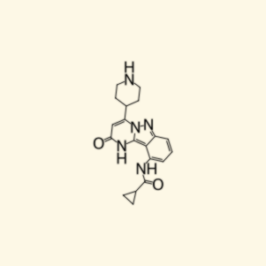 O=C(Nc1cccc2nn3c(C4CCNCC4)cc(=O)[nH]c3c12)C1CC1